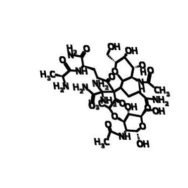 CC(=O)N[C@@H]1[C@@H](OC(C)C(=O)C(C(=O)CC[C@@H](NC(=O)[C@H](C)N)C(N)=O)(C(CCC(N)=O)C2O[C@H](CO)[C@@H](O)[C@H](O)[C@H]2NC(C)=O)C(N)(N)C(N)=O)[C@H](O)[C@@H](CO)O[C@@H]1O